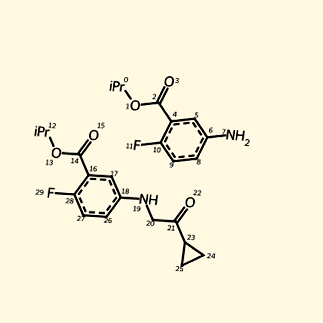 CC(C)OC(=O)c1cc(N)ccc1F.CC(C)OC(=O)c1cc(NCC(=O)C2CC2)ccc1F